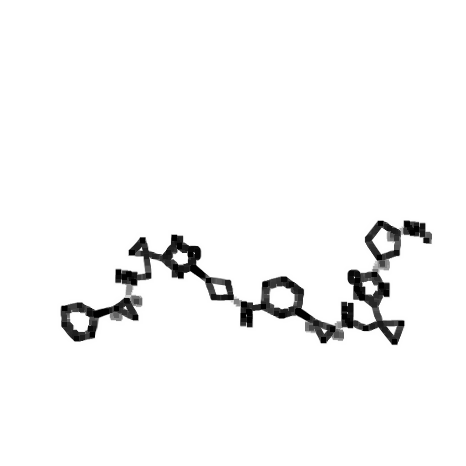 N[C@H]1CC[C@@H](c2nc(C3(CN[C@@H]4C[C@H]4c4cccc(N[C@H]5C[C@H](c6nc(C7(CN[C@@H]8C[C@H]8c8ccccc8)CC7)no6)C5)c4)CC3)no2)C1